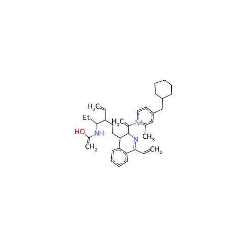 C=CC1=NC(C(=C)[n+]2ccc(CC3CCCCC3)cc2C)C(CCC(C=C)C(CC)NC(=C)O)c2ccccc21